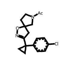 CC(=O)N1CCC2(CC(C3(c4ccc(Cl)cc4)CC3)=NO2)C1